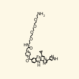 NCCOCCOCCOCCOCCNC(=O)CN1CCN(C(=O)c2ccc(Nc3nc(C4CC4)cn4c(-c5cn[nH]c5)cnc34)c(F)c2)CC1